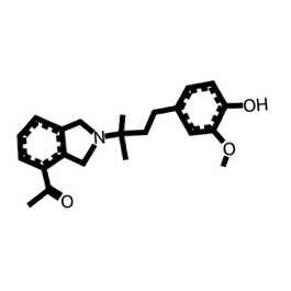 COc1cc(CCC(C)(C)N2Cc3cccc(C(C)=O)c3C2)ccc1O